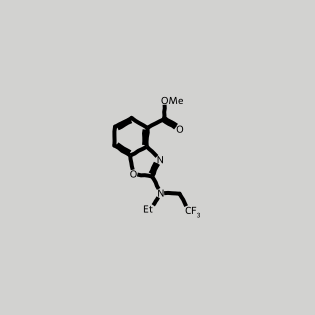 CCN(CC(F)(F)F)c1nc2c(C(=O)OC)cccc2o1